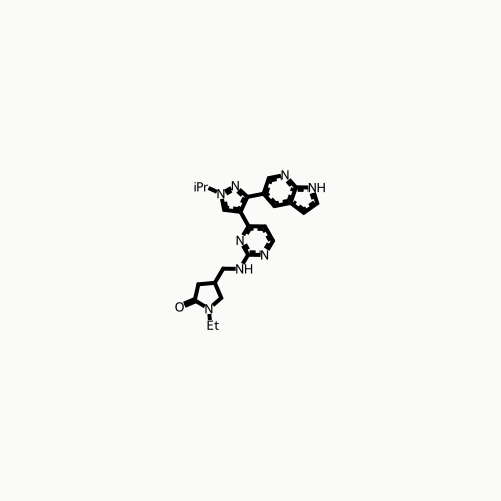 CCN1CC(CNc2nccc(-c3cn(C(C)C)nc3-c3cnc4[nH]ccc4c3)n2)CC1=O